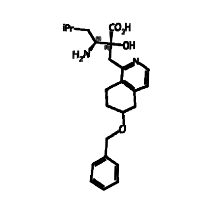 CC(C)C[C@H](N)[C@](O)(Cc1nccc2c1CCC(OCc1ccccc1)C2)C(=O)O